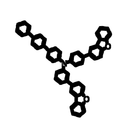 c1ccc(-c2ccc(-c3ccc(N(c4ccc(-c5ccc6oc7ccccc7c6c5)cc4)c4cccc(-c5ccc6oc7ccccc7c6c5)c4)cc3)cc2)cc1